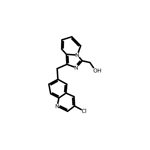 OCc1nc(Cc2ccc3ncc(Cl)cc3c2)c2ccccn12